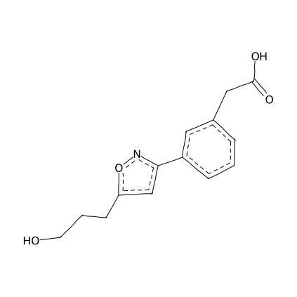 O=C(O)Cc1cccc(-c2cc(CCCO)on2)c1